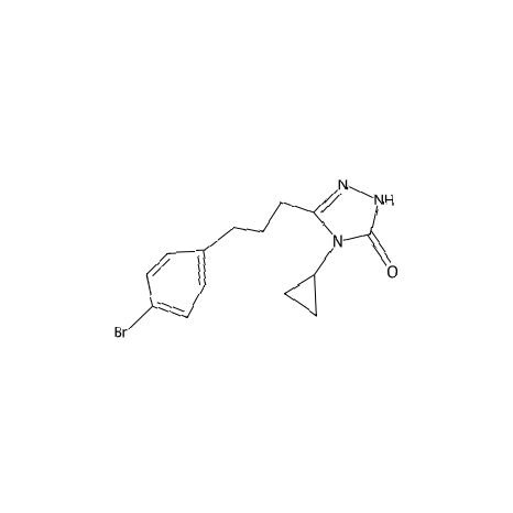 O=c1[nH]nc(CCCc2ccc(Br)cc2)n1C1CC1